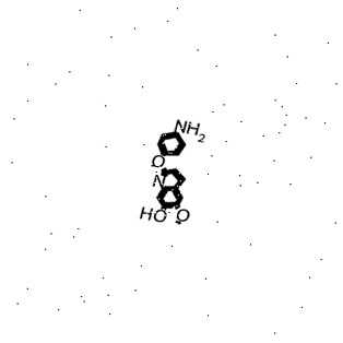 COc1cc2ccc(Oc3ccc(N)cc3)nc2cc1O